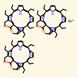 CCC1=C(CC)c2nc1c(CC)c1ccc([nH]1)c(CC)c1nc(c(CC)c3c(CC)c(CC)c(c2C(=O)O)n3CC)C=C1.CCC1=C(CC)c2nc1c(CC)c1ccc([nH]1)c(CC)c1nc(c(CC)c3c(CC)c(CC)c(c2C(=O)O)n3CC)C=C1.CCC1=C(CC)c2nc1c(CC)c1ccc([nH]1)c(CC)c1nc(c(CC)c3c(CC)c(CC)c(c2C(=O)O)n3CC)C=C1.[Rh+3]